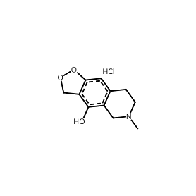 CN1CCc2cc3c(c(O)c2C1)COO3.Cl